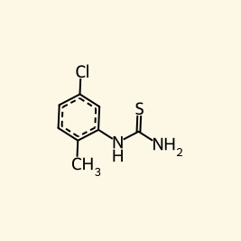 Cc1ccc(Cl)cc1NC(N)=S